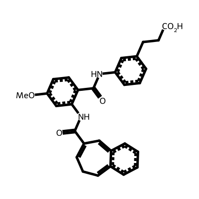 COc1ccc(C(=O)Nc2cccc(CCC(=O)O)c2)c(NC(=O)C2=CCC=c3ccccc3=C2)c1